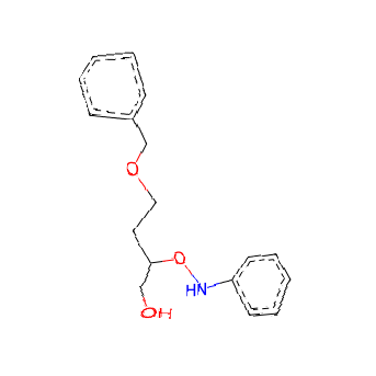 OCC(CCOCc1ccccc1)ONc1ccccc1